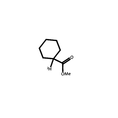 [2H]C1(C(=O)OC)CCCCC1